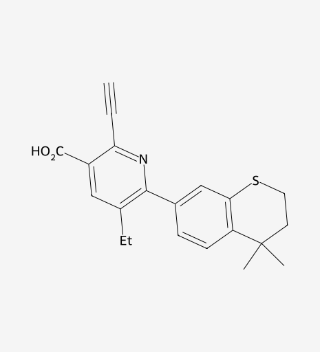 C#Cc1nc(-c2ccc3c(c2)SCCC3(C)C)c(CC)cc1C(=O)O